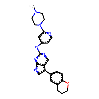 CN1CCN(c2cc(Nc3ncc4c(-c5ccc6c(c5)CCCO6)c[nH]c4n3)ccn2)CC1